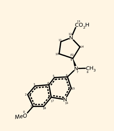 COc1ccc2cc(N(C)[C@H]3CCN(C(=O)O)C3)cnc2c1